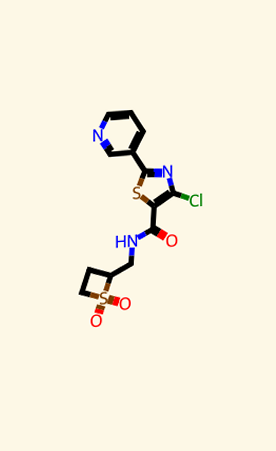 O=C(NCC1CCS1(=O)=O)c1sc(-c2cccnc2)nc1Cl